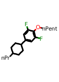 CCCCCOc1c(F)cc(C2CCC(CCC)CC2)cc1F